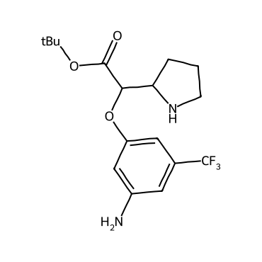 CC(C)(C)OC(=O)C(Oc1cc(N)cc(C(F)(F)F)c1)C1CCCN1